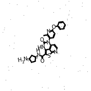 Cc1nc(Oc2ccccc2)ccc1N1C(=O)Nc2c(C(=O)N[C@H]3CC[C@H](N)C3)sc3nccc1c23